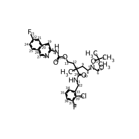 CC(C)(C)ON(C=O)CCC(C)(CCOC(=O)Nc1cc2cc(F)ccc2cn1)C(=O)NCc1cccc(F)c1Cl